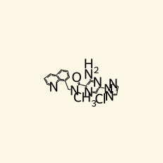 CN(Cc1cccc2cccnc12)C(=O)c1nc(Cl)c(-n2nccn2)nc1N